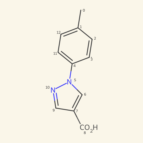 Cc1c[c]c(-n2cc(C(=O)O)cn2)cc1